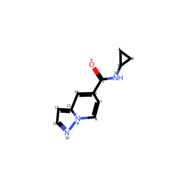 O=C(NC1CC1)c1ccn2nccc2c1